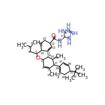 CC1=CC(OC(CC(C)C)C2C=CC(C(=O)NC3NNNN3)CC2)CC(C)C1C1=CCC(C(C)(C)C)C=C1